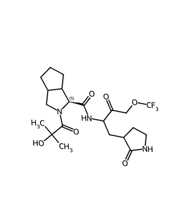 CC(C)(O)C(=O)N1CC2CCCC2[C@H]1C(=O)NC(CC1CCNC1=O)C(=O)COC(F)(F)F